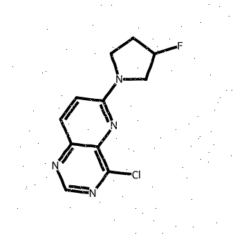 FC1CCN(c2ccc3ncnc(Cl)c3n2)C1